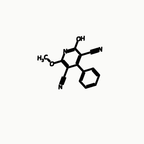 COc1nc(O)c(C#N)c(-c2ccccc2)c1C#N